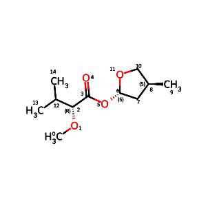 CO[C@@H](C(=O)O[C@H]1C[C@H](C)CO1)C(C)C